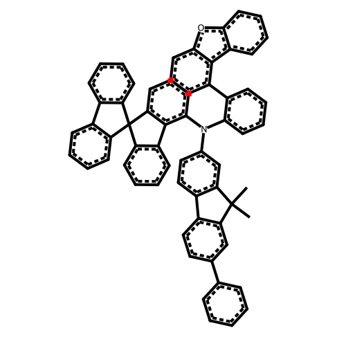 CC1(C)c2cc(-c3ccccc3)ccc2-c2ccc(N(c3ccccc3-c3cccc4oc5ccccc5c34)c3cccc4c3-c3ccccc3C43c4ccccc4-c4ccccc43)cc21